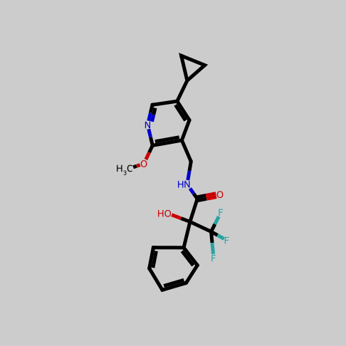 COc1ncc(C2CC2)cc1CNC(=O)C(O)(c1ccccc1)C(F)(F)F